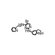 Brc1cnc(Nc2ccc3c(c2)CCN3)nc1NCCc1ccccn1